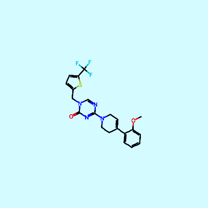 COc1ccccc1C1=CCN(c2ncn(Cc3ccc(C(F)(F)F)s3)c(=O)n2)CC1